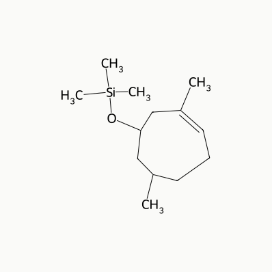 C/C1=C/CCC(C)CC(O[Si](C)(C)C)C1